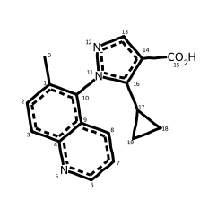 Cc1ccc2ncccc2c1-n1ncc(C(=O)O)c1C1CC1